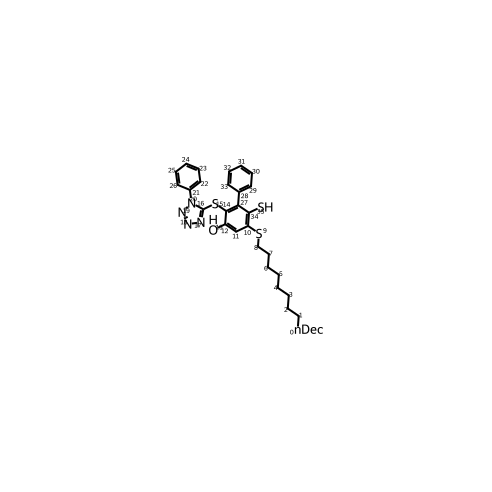 CCCCCCCCCCCCCCCCCCSc1cc(O)c(Sc2nnnn2-c2ccccc2)c(-c2ccccc2)c1S